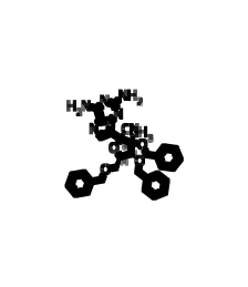 C[C@@]1(OCc2ccccc2)[C@H](OCc2ccccc2)[C@@H](COCc2ccccc2)O[C@@]1(C#N)c1cnc2c(N)nc(N)nn12